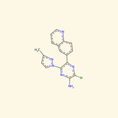 Cc1ccn(-c2nc(N)c(Br)nc2-c2ccc3ncccc3c2)n1